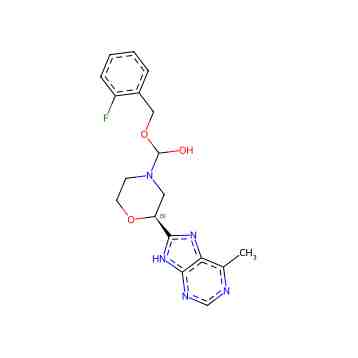 Cc1ncnc2[nH]c([C@@H]3CN(C(O)OCc4ccccc4F)CCO3)nc12